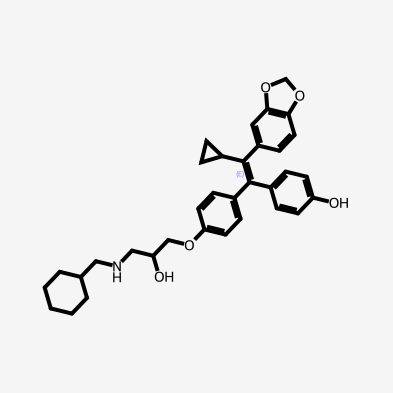 Oc1ccc(/C(=C(\c2ccc3c(c2)OCO3)C2CC2)c2ccc(OCC(O)CNCC3CCCCC3)cc2)cc1